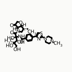 CC[C@@H]1CN(C(=O)C(O)(NC(=O)c2ccc(-c3csc(N4CCN(C)CC4)n3)cc2)C(O)[C@@](C)(O)CO)[C@@H]2C(=O)CO[C@H]12